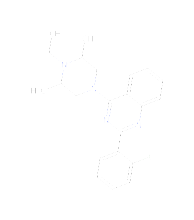 CCN1C(C)CN(c2nc(-c3ccccc3Cl)nc3ccccc23)CC1C